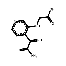 N=C(C(N)=O)c1ccncc1NCC(=O)O